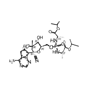 CC(C)OC(=O)[C@H](C)NP(=O)(N[C@@H](C)C(=O)OC(C)C)OC[C@H]1O[C@@](C#N)(c2ccc3c(N)ncnn23)[C@](C)(O)[C@@H]1O